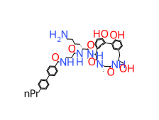 CCCc1ccc(-c2ccc(C(=O)NCCC(=O)N[C@H](CCCCN)C(=O)N(C)[C@@H]3C(=O)N[C@@H](C)C(=O)N[C@H](CO)Cc4ccc(O)c(c4)-c4cc3ccc4O)cc2)cc1